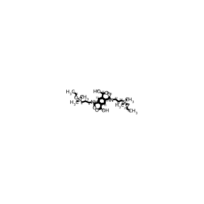 CCO[Si](C)(C)CCCNC(=O)c1cc(C(=O)O)c(C(=O)NCCC[Si](C)(C)OCC)cc1C(=O)O